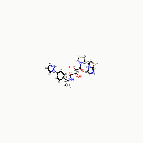 C[C@@H](NC(=O)[C@H](O)[C@@H](O)C(=O)N1CCC[C@@H]1c1csc2nccn12)c1ccc(-n2cccn2)cc1